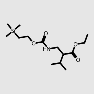 CCOC(=O)C(CNC(=O)OCC[Si](C)(C)C)C(C)C